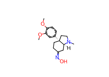 COc1ccc([C@@]23CC/C(=N/O)C[C@@H]2N(C)CC3)cc1OC